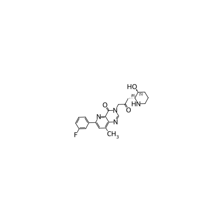 Cc1cc(-c2cccc(F)c2)nc2c(=O)n(CC(=O)C[C@H]3NCCC[C@@H]3O)cnc12